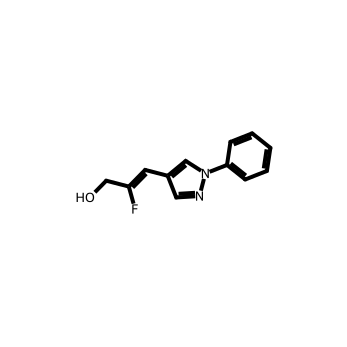 OC/C(F)=C/c1cnn(-c2ccccc2)c1